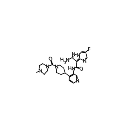 CN1CCN(C(=O)N2CCC(c3ccncc3NC(=O)c3c(N)nn4cc(F)cnc34)CC2)CC1